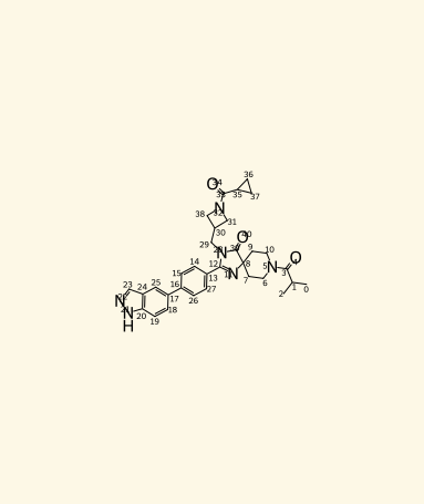 CC(C)C(=O)N1CCC2(CC1)N=C(c1ccc(-c3ccc4[nH]ncc4c3)cc1)N(CC1CN(C(=O)C3CC3)C1)C2=O